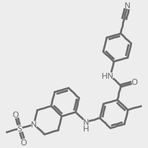 Cc1ccc(Nc2cccc3c2CCN(S(C)(=O)=O)C3)cc1C(=O)Nc1ccc(C#N)cc1